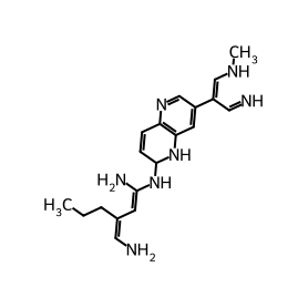 CCCC(=C/N)/C=C(\N)NC1C=Cc2ncc(/C(C=N)=C/NC)cc2N1